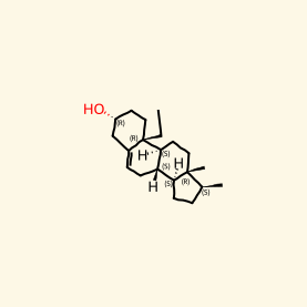 CC[C@]12CC[C@@H](O)CC1=CC[C@@H]1[C@@H]2CC[C@]2(C)[C@@H](C)CC[C@@H]12